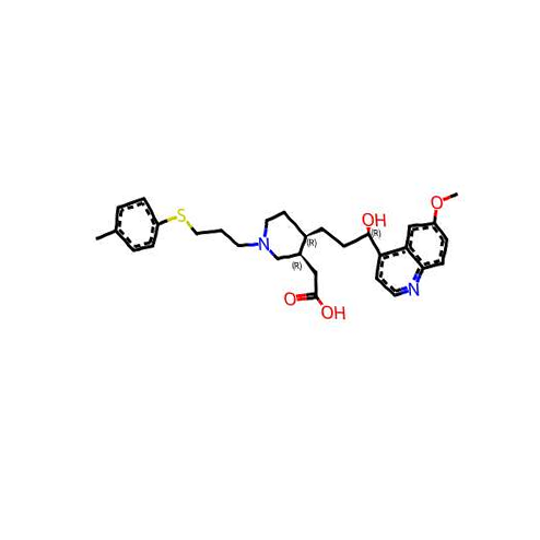 COc1ccc2nccc([C@H](O)CC[C@@H]3CCN(CCCSc4ccc(C)cc4)C[C@@H]3CC(=O)O)c2c1